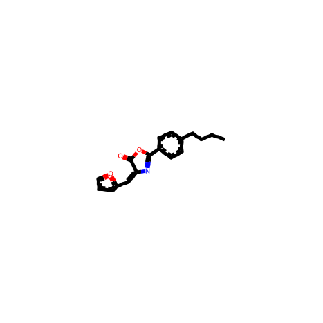 CCCCc1ccc(C2=NC(=Cc3ccco3)C(=O)O2)cc1